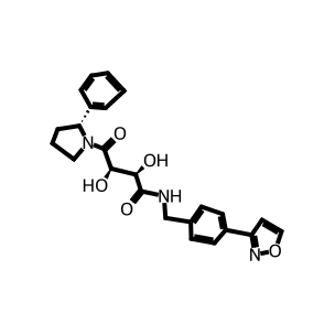 O=C(NCc1ccc(-c2ccon2)cc1)[C@H](O)[C@@H](O)C(=O)N1CCC[C@@H]1c1ccccc1